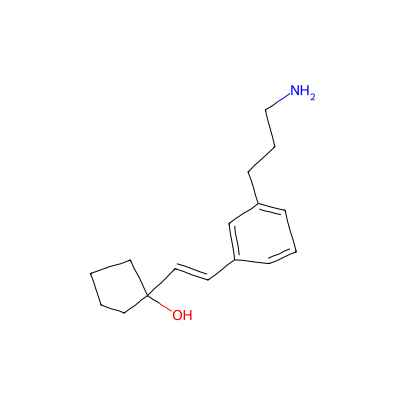 NCCCc1cccc(C=CC2(O)CCCC2)c1